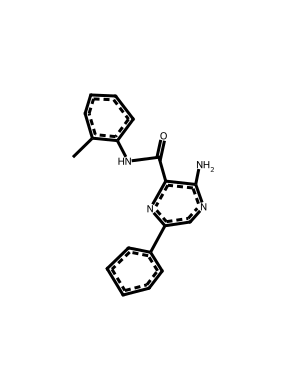 Cc1ccccc1NC(=O)c1nc(-c2ccccc2)cnc1N